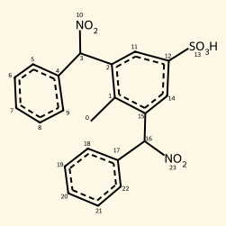 Cc1c(C(c2ccccc2)[N+](=O)[O-])cc(S(=O)(=O)O)cc1C(c1ccccc1)[N+](=O)[O-]